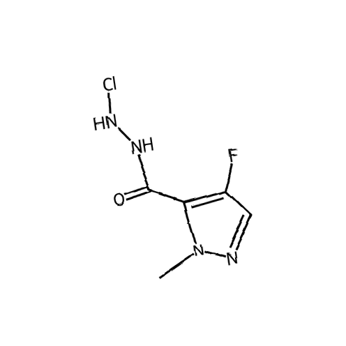 Cn1ncc(F)c1C(=O)NNCl